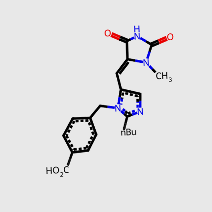 CCCCc1ncc(C=C2C(=O)NC(=O)N2C)n1Cc1ccc(C(=O)O)cc1